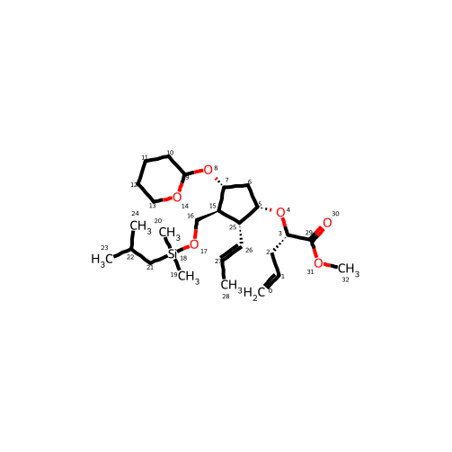 C=CC[C@H](O[C@H]1C[C@@H](OC2CCCCO2)[C@H](CO[Si](C)(C)CC(C)C)[C@H]1C=CC)C(=O)OC